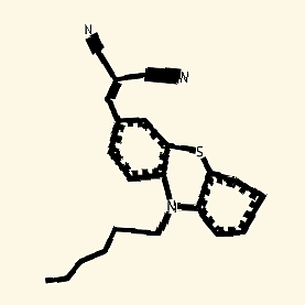 CCCCCCN1c2ccccc2Sc2cc(C=C(C#N)C#N)ccc21